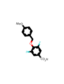 COc1ccc(COc2c(F)cc(C(=O)O)cc2F)cc1